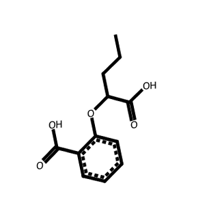 CCCC(Oc1ccccc1C(=O)O)C(=O)O